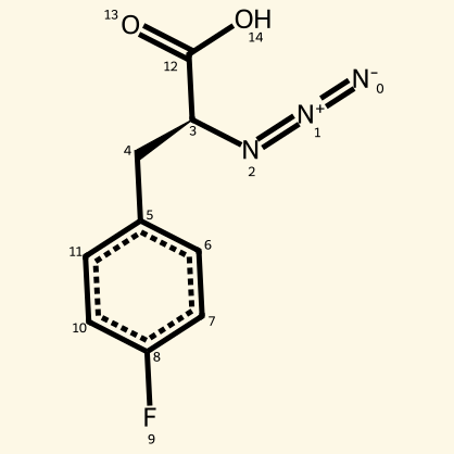 [N-]=[N+]=N[C@@H](Cc1ccc(F)cc1)C(=O)O